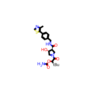 Cc1ncsc1-c1ccc(CNC(=O)[C@H]2CN(C(=O)C(OC(N)=O)C(C)(C)C)C[C@@H]2O)cc1